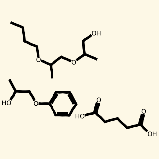 CC(O)COc1ccccc1.CCCCOC(C)COC(C)CO.O=C(O)CCCC(=O)O